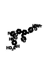 CC(C)NC(=O)CN1CCN(Cc2ccc(-c3cccc(Oc4ncc(F)cc4C(=O)NC4CCC(NC(=O)O)CC4)c3)c(CN3CCOCC3)c2)CC1